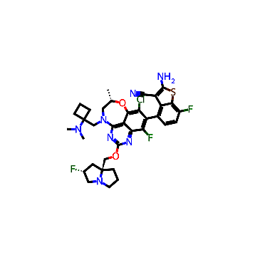 C[C@H]1CN(CC2(N(C)C)CCC2)c2nc(OC[C@@]34CCCN3C[C@H](F)C4)nc3c(F)c(-c4ccc(F)c5sc(N)c(C#N)c45)c(Cl)c(c23)O1